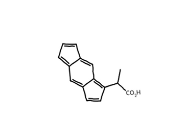 CC(C(=O)O)C1=c2cc3c(cc2C=C1)=CC=C3